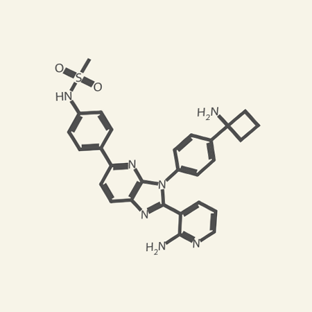 CS(=O)(=O)Nc1ccc(-c2ccc3nc(-c4cccnc4N)n(-c4ccc(C5(N)CCC5)cc4)c3n2)cc1